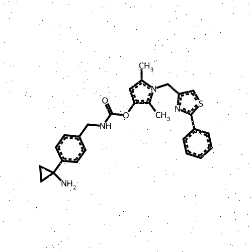 Cc1cc(OC(=O)NCc2ccc(C3(N)CC3)cc2)c(C)n1Cc1csc(-c2ccccc2)n1